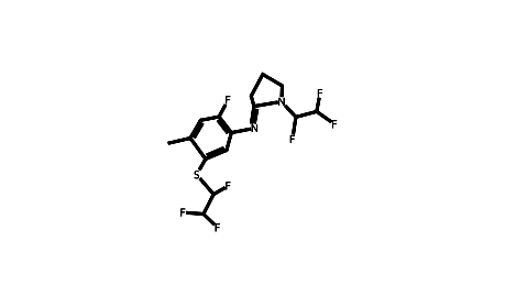 Cc1cc(F)c(N=C2CCCN2C(F)C(F)F)cc1SC(F)C(F)F